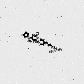 CCCN(CCC)CCCCCC1CCN(Nc2nc(Cl)nc3c2ncn3C2CCCC2)CC1